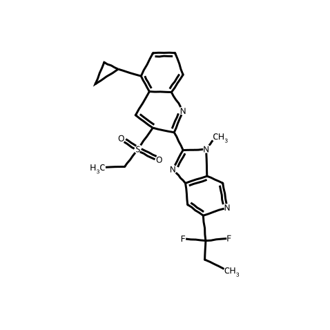 CCC(F)(F)c1cc2nc(-c3nc4cccc(C5CC5)c4cc3S(=O)(=O)CC)n(C)c2cn1